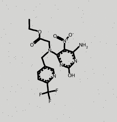 CCOC(=O)CN(Cc1ccc(C(F)(F)F)nc1)c1nc(O)nc(N)c1[N+](=O)[O-]